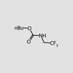 CCCCOC(=O)N[CH]C(F)(F)F